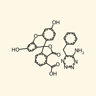 Nc1nnnnc1Cc1ccccc1.O=C(O)c1cccc2c1C(=O)OC21c2ccc(O)cc2Oc2cc(O)ccc21